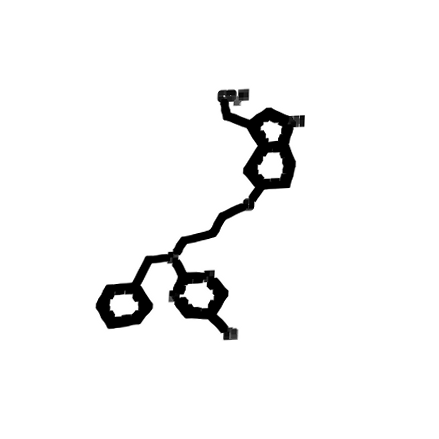 CCc1cnc(N(CCCOc2ccc3[nH]cc(CC(=O)O)c3c2)Cc2ccccc2)nc1